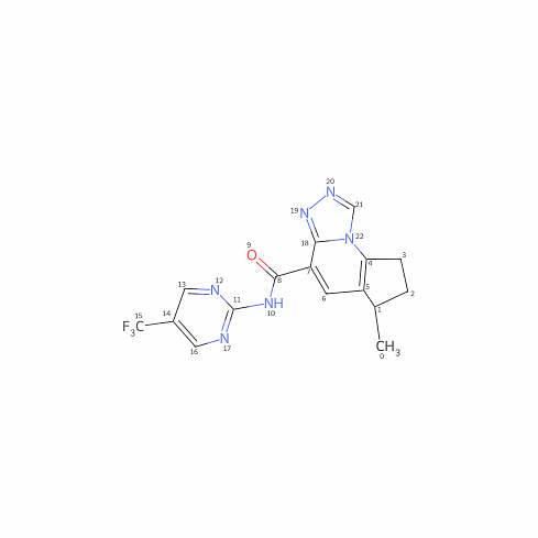 CC1CCc2c1cc(C(=O)Nc1ncc(C(F)(F)F)cn1)c1nncn21